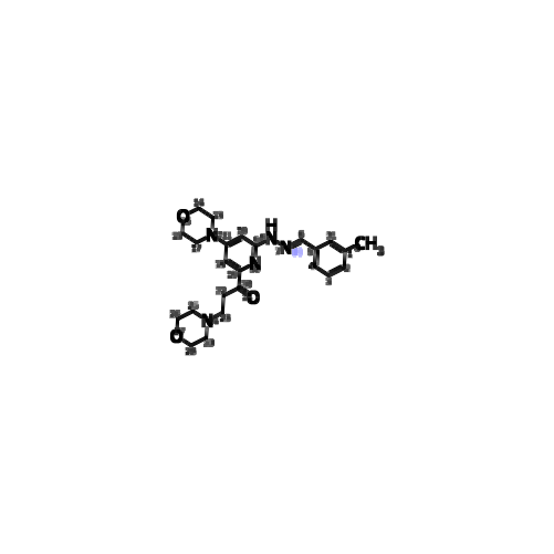 Cc1cccc(/C=N/Nc2cc(N3CCOCC3)cc(C(=O)CCN3CCOCC3)n2)c1